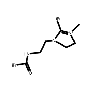 CC(C)C(=O)NCCN1CC[N+](C)=C1C(C)C